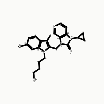 O=c1n(Cc2c(I)c3ccc(Cl)cc3n2CCCCO)c2cnccc2n1C1CC1